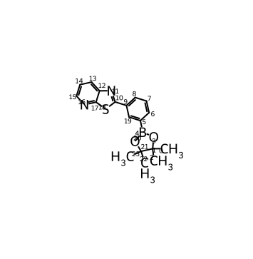 CC1(C)OB(c2cccc(-c3nc4cccnc4s3)c2)OC1(C)C